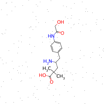 CC(C)(CC(N)Cc1ccc(NC(=O)CO)cc1)C(=O)O